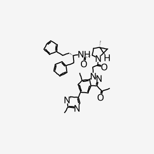 CC(=O)c1nn(CC(=O)N2[C@H](C(=O)N[C@@H](CCc3ccccc3)Cc3ccccc3)C[C@@]3(C)C[C@@H]23)c2c(C)cc(-c3cnc(C)nc3)cc12